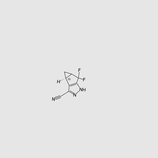 N#Cc1n[nH]c2c1[C@H]1CC1C2(F)F